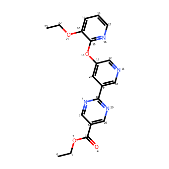 CCOC(=O)c1cnc(-c2cncc(Oc3ncccc3OCC)c2)nc1